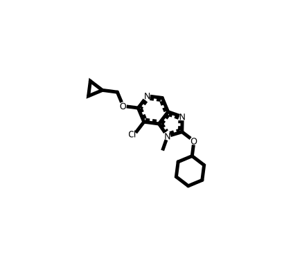 Cn1c(OC2CCCCC2)nc2cnc(OCC3CC3)c(Cl)c21